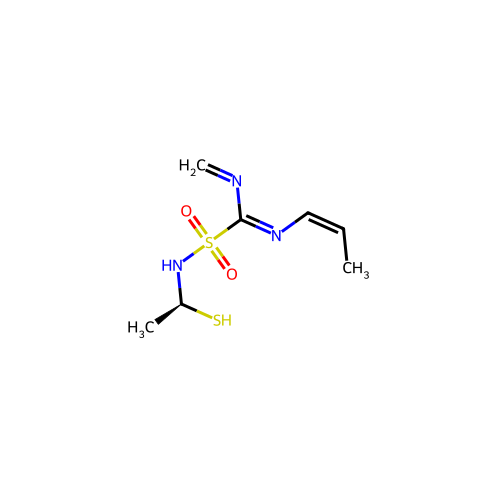 C=N/C(=N\C=C/C)S(=O)(=O)N[C@H](C)S